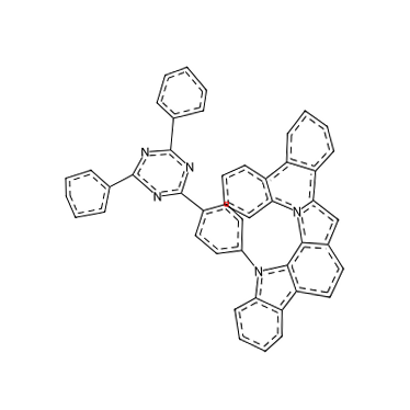 c1ccc(-c2nc(-c3ccccc3)nc(-c3ccc(-n4c5ccccc5c5ccc6cc7c8ccccc8c8ccccc8n7c6c54)cc3)n2)cc1